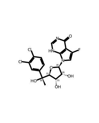 C[C@@](O)(c1ccc(Cl)c(Cl)c1)[C@H]1O[C@@H](n2cc(F)c3c(=O)nc[nH]c32)[C@H](O)[C@@H]1O